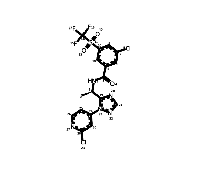 C[C@@H](NC(=O)c1cc(Cl)cc(S(=O)(=O)C(F)(F)F)c1)c1ncnn1-c1ccnc(Cl)c1